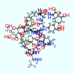 CN[C@H](CC(C)C)C(=O)NC1C(=O)NC(CC(N)=O)C(=O)N[C@H]2C(=O)NC3C(=O)N[C@H](C(=O)N[C@@H](C(=O)O)c4cc(O)cc(O)c4-c4cc3ccc4O)[C@H](O)c3ccc(c(Cl)c3)Oc3cc2cc(c3OC2OC(CO)C(O)C(O)C2OC2CC(C)(NCC(OCc3ccc(C)cc3)C(=O)O)C(O)C(C)O2)Oc2ccc(cc2Cl)[C@H]1O